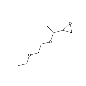 CCOCCOC(C)C1CO1